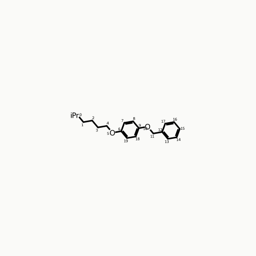 CC(C)CCCCOc1ccc(OCc2ccccc2)cc1